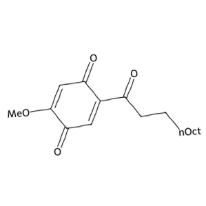 CCCCCCCCCCC(=O)C1=CC(=O)C(OC)=CC1=O